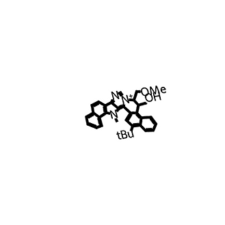 COCC1C(CO)c2c(cc(C(C)(C)C)c3ccccc23)-c2c3c(nc[n+]21)c1ccc2ccccc2c1n3C